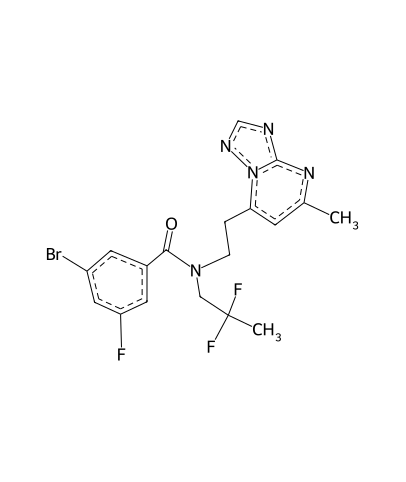 Cc1cc(CCN(CC(C)(F)F)C(=O)c2cc(F)cc(Br)c2)n2ncnc2n1